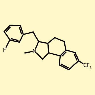 CN1CC2c3ccc(C(F)(F)F)cc3CCC2C1Cc1cccc(F)c1